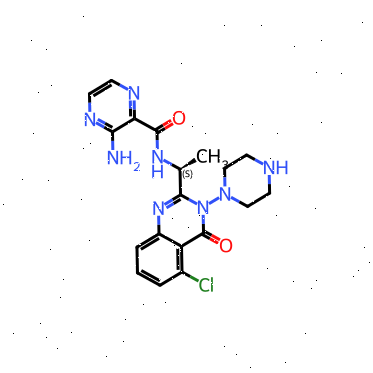 C[C@H](NC(=O)c1nccnc1N)c1nc2cccc(Cl)c2c(=O)n1N1CCNCC1